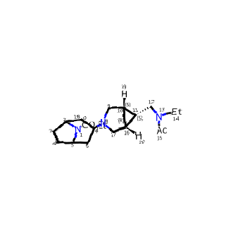 CCOC(=O)N1C2CCC1CC(N1C[C@@H]3[C@H](CN(CC)C(C)=O)[C@@H]3C1)C2